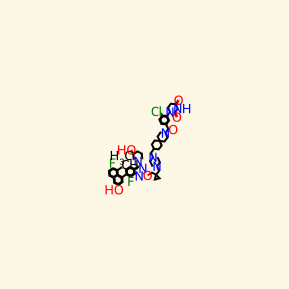 C#Cc1c(F)ccc2cc(O)cc(-c3ccc4c(N5CCC[C@@](C)(O)C5)nc(OCC5(CN6CCN(CC7CCC8(CC7)CCN(C(=O)c7ccc(Cl)c(N9CCC(=O)NC9=O)c7)CC8)CC6)CC5)nc4c3F)c12